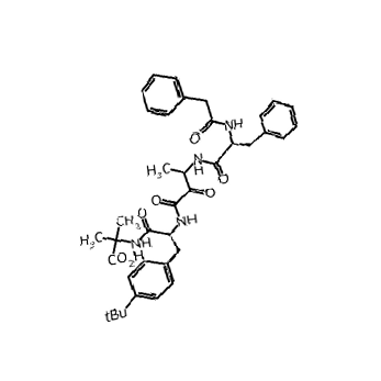 CC(NC(=O)[C@H](Cc1ccccc1)NC(=O)Cc1ccccc1)C(=O)C(=O)N[C@@H](Cc1ccc(C(C)(C)C)cc1)C(=O)NC(C)(C)C(=O)O